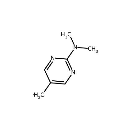 [CH2]c1cnc(N(C)C)nc1